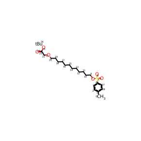 Cc1ccc(S(=O)(=O)OCCCCCCCCCCCCOCC(=O)OC(C)(C)C)cc1